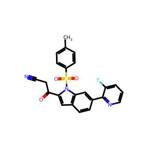 Cc1ccc(S(=O)(=O)n2c(C(=O)CC#N)cc3ccc(-c4ncccc4F)cc32)cc1